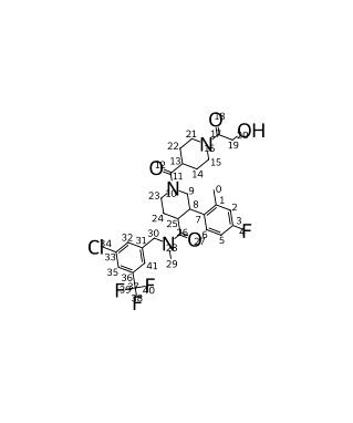 Cc1cc(F)ccc1C1CN(C(=O)C2CCN(C(=O)CO)CC2)CCC1C(=O)N(C)Cc1cc(Cl)cc(C(F)(F)F)c1